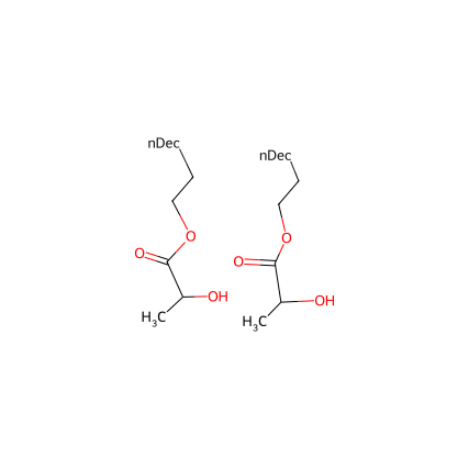 CCCCCCCCCCCCOC(=O)C(C)O.CCCCCCCCCCCCOC(=O)C(C)O